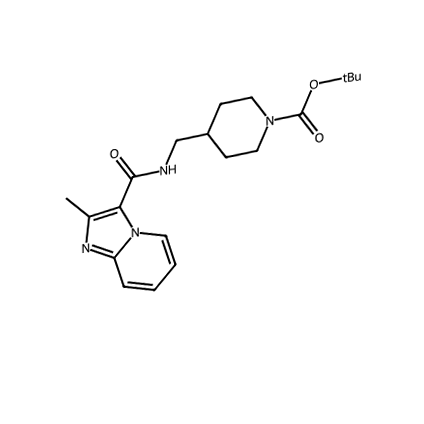 Cc1nc2ccccn2c1C(=O)NCC1CCN(C(=O)OC(C)(C)C)CC1